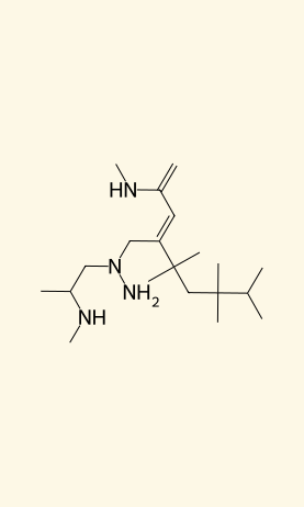 C=C(/C=C(\CN(N)CC(C)NC)C(C)(C)CC(C)(C)C(C)C)NC